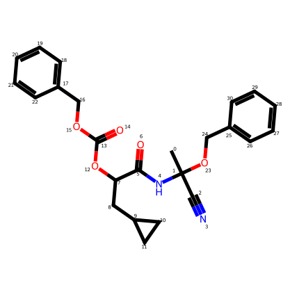 CC(C#N)(NC(=O)C(CC1CC1)OC(=O)OCc1ccccc1)OCc1ccccc1